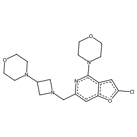 Clc1cc2c(N3CCOCC3)nc(CN3CC(N4CCOCC4)C3)cc2o1